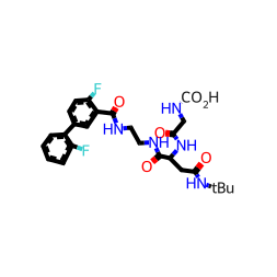 CC(C)(C)NC(=O)CC(NC(=O)CNC(=O)O)C(=O)NCCNC(=O)c1cc(-c2ccccc2F)ccc1F